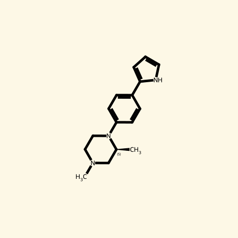 C[C@H]1CN(C)CCN1c1ccc(-c2ccc[nH]2)cc1